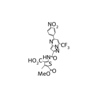 COC(=O)c1sc(NC(=O)c2cc3nc(-c4ccc([N+](=O)[O-])cc4)cc(C(F)(F)F)n3n2)c(C(=O)O)c1C